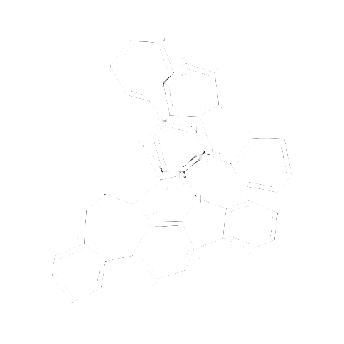 c1ccc(-c2nc(-c3ccccc3)nc(C3CCc4ccccc4-c4ccc5c6ccccc6n(-c6ccc7ccccc7c6)c5c43)n2)cc1